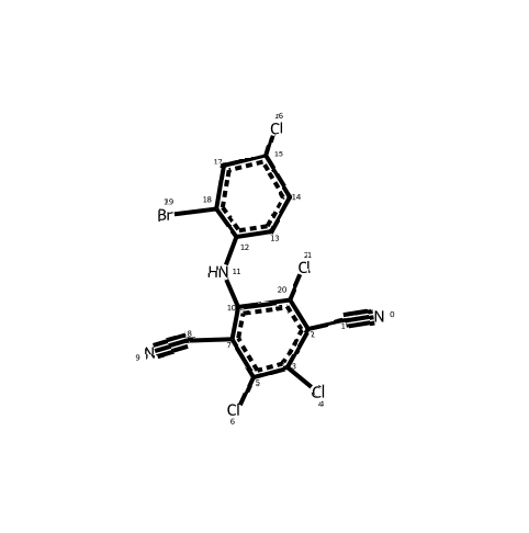 N#Cc1c(Cl)c(Cl)c(C#N)c(Nc2ccc(Cl)cc2Br)c1Cl